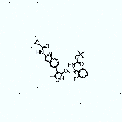 Cc1onc(OC[C@H](NC(=O)OC(C)(C)C)c2ccccc2F)c1-c1ccn2nc(NC(=O)C3CC3)cc2c1